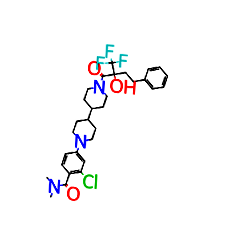 CN(C)C(=O)c1ccc(N2CCC(C3CCN(C(=O)C(O)(CCc4ccccc4)C(F)(F)F)CC3)CC2)cc1Cl